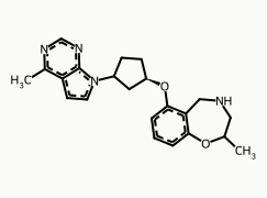 Cc1ncnc2c1ccn2C1CC[C@@H](Oc2cccc3c2CNCC(C)O3)C1